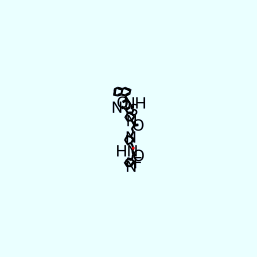 N#Cc1c(NC(=O)c2cccc3ccccc23)sc2c1CCN(C(=O)CCN1CCCC(CNC(=O)c3cccnc3F)C1)C2